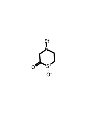 [CH2]CN1CC[S@+]([O-])C(=O)C1